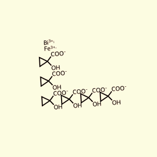 O=C([O-])C1(O)CC1.O=C([O-])C1(O)CC1.O=C([O-])C1(O)CC1.O=C([O-])C1(O)CC1.O=C([O-])C1(O)CC1.O=C([O-])C1(O)CC1.[Bi+3].[Fe+3]